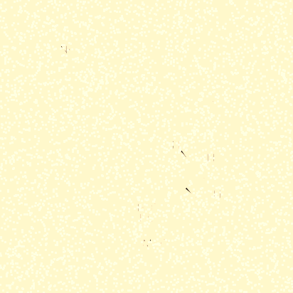 CO[C@@]1(C)C=C[C@H]2[C@@H]3CCC4=CC(=O)CC[C@@H]4[C@H]3[C@@H](c3ccc(-c4ccc(C#N)cc4)cc3)C[C@@]21C